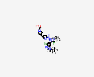 C=N/C=C(/F)C(c1cc(F)c2nc(C)n(C(C)C)c2c1)N(C)CNc1ccc(C=C2CCN(CCO)CC2)cn1